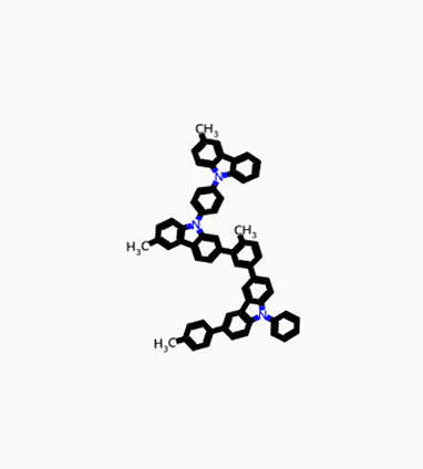 Cc1ccc(-c2ccc3c(c2)c2cc(-c4ccc(C)c(-c5ccc6c7cc(C)ccc7n(-c7ccc(-n8c9ccccc9c9cc(C)ccc98)cc7)c6c5)c4)ccc2n3-c2ccccc2)cc1